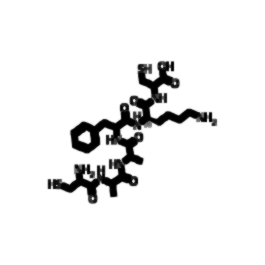 CC(NC(=O)C(N)CS)C(=O)NC(C)C(=O)NC(Cc1ccccc1)C(=O)N[C@H](CCCCN)C(=O)NC(CS)C(=O)O